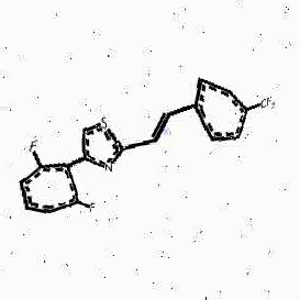 Fc1cccc(F)c1-c1csc(/C=C/c2ccc(C(F)(F)F)cc2)n1